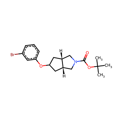 CC(C)(C)OC(=O)N1C[C@H]2CC(Oc3cccc(Br)c3)C[C@H]2C1